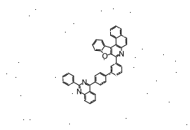 c1ccc(-c2nc(-c3ccc(-c4cccc(-c5nc6ccc7ccccc7c6c6c5oc5ccccc56)c4)cc3)c3ccccc3n2)cc1